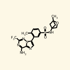 Cc1ccc(S(=O)(=O)NC23COC(C)(C2)C3)cc1-c1cnc2c(N)nc(C(F)(F)F)nn12